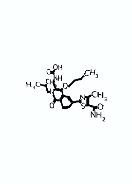 CCCCOc1c(CNC(=O)O)n(CC(C)C)c(=O)c2ccc(-c3nc(C)c(C(N)=O)s3)cc12